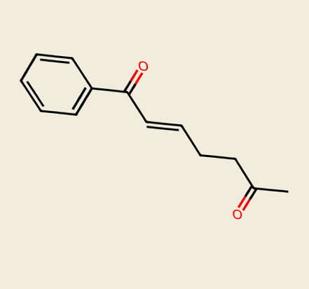 CC(=O)CCC=CC(=O)c1ccccc1